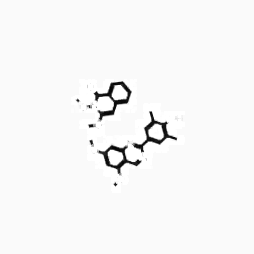 COc1cc(OC)c2cnc(-c3cc(C)c(O)c(C)c3)nc2c1.COc1cc2ccccc2c(=O)n1OC